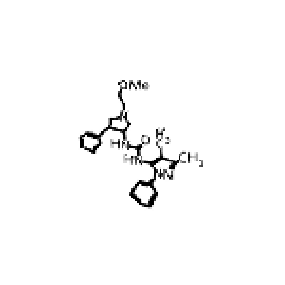 COCCN1CC(NC(=O)Nc2c(C)c(C)nn2-c2ccccc2)C(c2ccccc2)C1